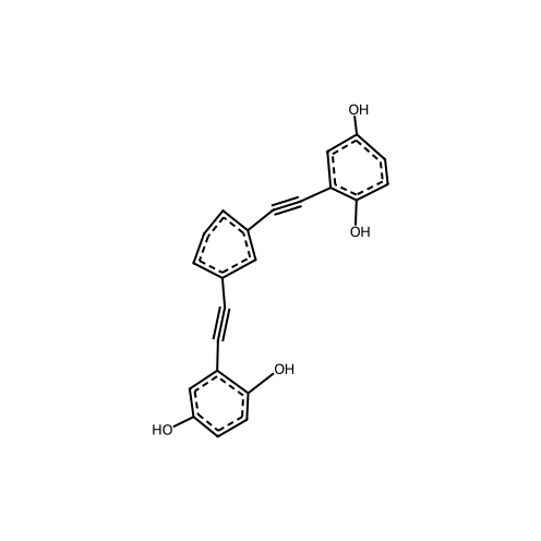 Oc1ccc(O)c(C#Cc2cccc(C#Cc3cc(O)ccc3O)c2)c1